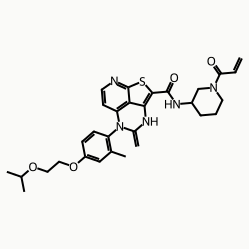 C=CC(=O)N1CCCC(NC(=O)c2sc3nccc4c3c2[nH]c(=C)n4-c2ccc(OCCOC(C)C)cc2C)C1